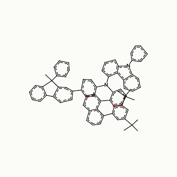 CC(C)(C)c1cc(-c2cccc3cccc(-c4ccccc4N(c4ccc(-c5ccc6c(c5)C(C)(c5ccccc5)c5ccccc5-6)cc4)c4cccc5c4c4ccccc4n5-c4ccccc4)c23)cc(C(C)(C)C)c1